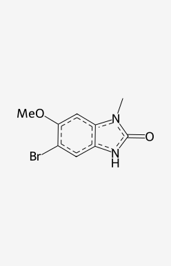 COc1cc2c(cc1Br)[nH]c(=O)n2C